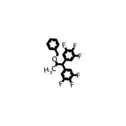 CC(OCc1ccccc1)C(c1cc(F)c(F)c(F)c1)c1cc(F)c(F)c(F)c1